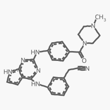 CN1CCN(C(=O)c2ccc(Nc3nc(Nc4cccc(CC#N)c4)c4cc[nH]c4n3)cc2)CC1